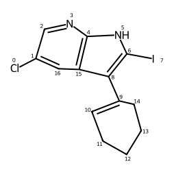 Clc1cnc2[nH]c(I)c(C3=CCCCC3)c2c1